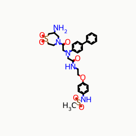 CS(=O)(=O)Nc1ccc(OCCNC(=O)CN(CC(=O)N2CCS(=O)(=O)CC(N)C2)c2ccc(-c3ccccc3)cc2)cc1